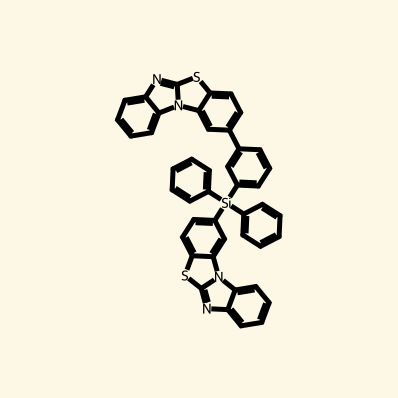 c1ccc([Si](c2ccccc2)(c2cccc(-c3ccc4sc5nc6ccccc6n5c4c3)c2)c2ccc3sc4nc5ccccc5n4c3c2)cc1